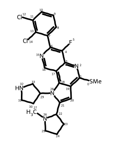 CSc1nc2c(F)c(-c3cccc(Cl)c3Cl)ncc2c2c1cc(C1CCCN1C)n2C1CCNC1